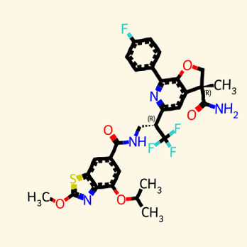 COc1nc2c(OC(C)C)cc(C(=O)NC[C@H](c3cc4c(c(-c5ccc(F)cc5)n3)OC[C@]4(C)C(N)=O)C(F)(F)F)cc2s1